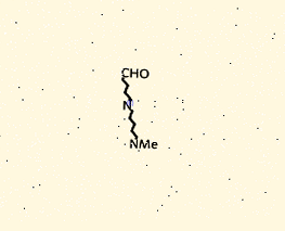 CNCCCCC/N=C/CCCC=O